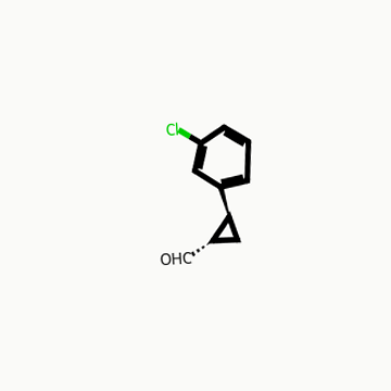 O=C[C@H]1C[C@@H]1c1cccc(Cl)c1